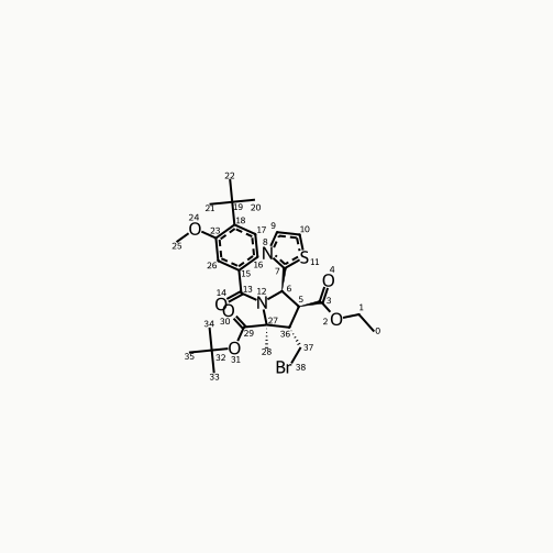 CCOC(=O)[C@@H]1[C@H](c2nccs2)N(C(=O)c2ccc(C(C)(C)C)c(OC)c2)[C@](C)(C(=O)OC(C)(C)C)[C@H]1CBr